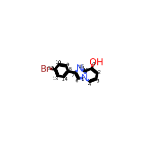 Oc1cccn2cc(-c3ccc(Br)cc3)nc12